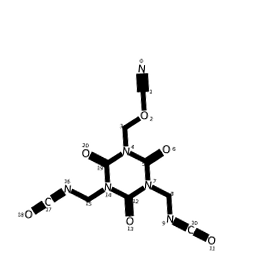 N#COCn1c(=O)n(CN=C=O)c(=O)n(CN=C=O)c1=O